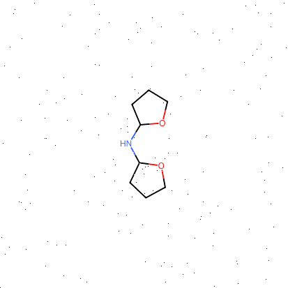 C1COC(NC2CCCO2)C1